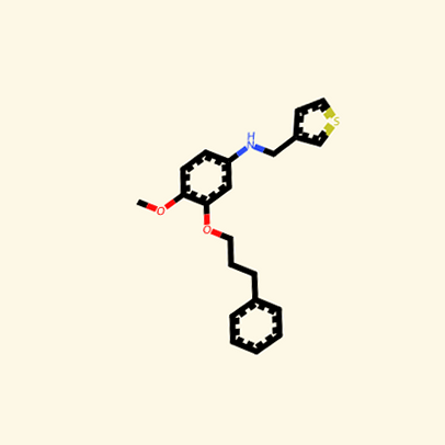 COc1ccc(NCc2ccsc2)cc1OCCCc1ccccc1